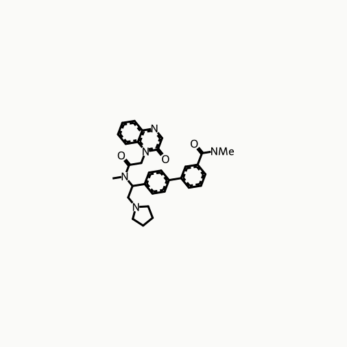 CNC(=O)c1cccc(-c2ccc(C(CN3CCCC3)N(C)C(=O)Cn3c(=O)cnc4ccccc43)cc2)c1